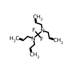 C=CCN(CC=C)C(F)(F)N(CC=C)CC=C